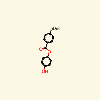 CCCCCCCCCCc1ccc(C(=O)Oc2ccc(O)cc2)cc1